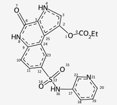 CCOC(=O)Oc1c[nH]c2c(=O)[nH]c3ccc(S(=O)(=O)Nc4cccnc4)cc3c12